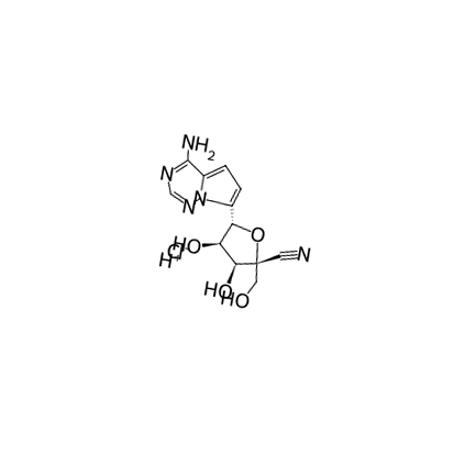 N#C[C@]1(CO)O[C@@H](c2ccc3c(N)ncnn23)[C@H](O)[C@@H]1O.[Cl-].[H+]